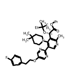 CCC(C)(C)O[C@H](C(=O)OC(C)C)c1c(C)ncc(-c2ncc(OCCc3ccc(F)cc3)cn2)c1N1CCC(C)(C)CC1